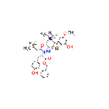 COc1cc(O)c2c3c1C[C@@H]1[C@@H]4CC[C@@H](NN(C(=O)CC(C)C)[C@@H](Cc5ccc(O)cc5)C(=O)OCc5ccccc5)[C@H](O2)[C@]34CCN1C